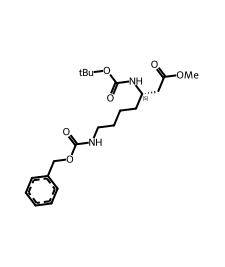 COC(=O)C[C@H](CCCCNC(=O)OCc1ccccc1)NC(=O)OC(C)(C)C